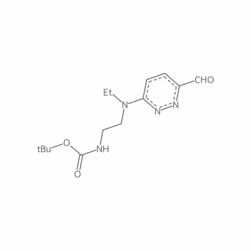 CCN(CCNC(=O)OC(C)(C)C)c1ccc(C=O)nn1